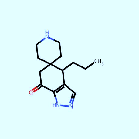 CCCC1c2cn[nH]c2C(=O)CC12CCNCC2